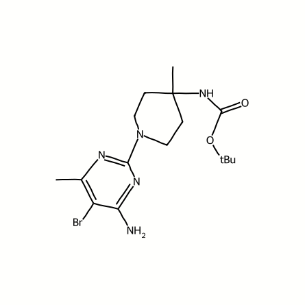 Cc1nc(N2CCC(C)(NC(=O)OC(C)(C)C)CC2)nc(N)c1Br